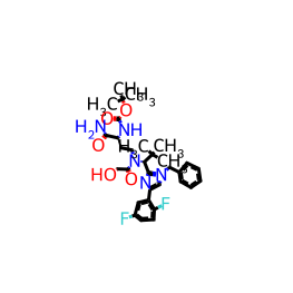 CC(C)(C)OC(=O)N[C@@H](CCN(C(=O)CO)[C@@H](c1nc(-c2cc(F)ccc2F)cn1Cc1ccccc1)C(C)(C)C)C(N)=O